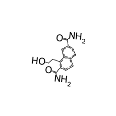 NC(=O)c1ccc2ccc(C(N)=O)c(CCO)c2c1